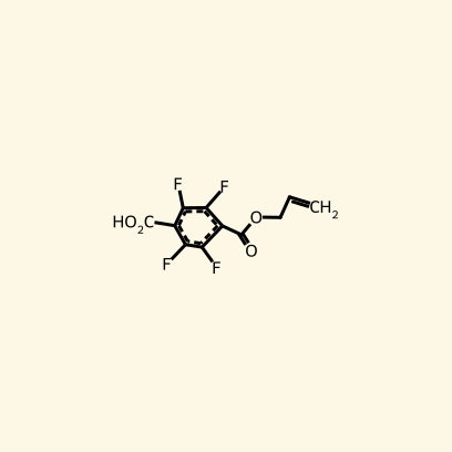 C=CCOC(=O)c1c(F)c(F)c(C(=O)O)c(F)c1F